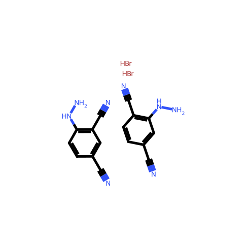 Br.Br.N#Cc1ccc(C#N)c(NN)c1.N#Cc1ccc(NN)c(C#N)c1